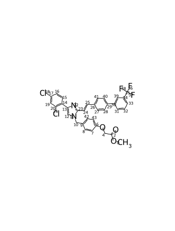 COC(=O)COc1ccc(Cn2cc(-c3ccc(Cl)cc3Cl)nc2/C=C/c2ccc(-c3cccc(C(F)(F)F)c3)cc2)cc1